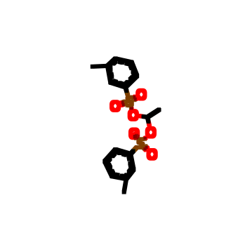 Cc1cccc(S(=O)(=O)OC(C)OS(=O)(=O)c2cccc(C)c2)c1